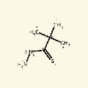 CC(C)(C)C(=S)NN